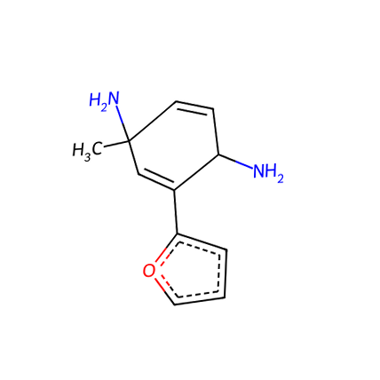 CC1(N)C=CC(N)C(c2ccco2)=C1